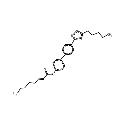 CCCCCC=CC(=O)Oc1ccc(-c2ccc(-c3ncc(CCCCC)s3)cc2)cc1